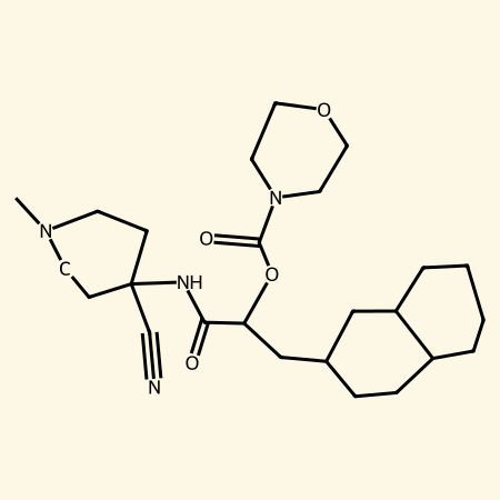 CN1CCC(C#N)(NC(=O)C(CC2CCC3CCCCC3C2)OC(=O)N2CCOCC2)CC1